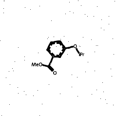 COC(=O)c1cccc(OC(C)C)c1